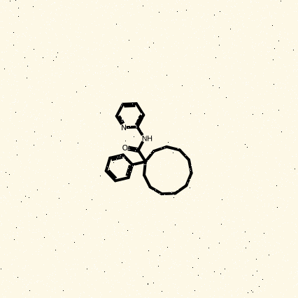 O=C(Nc1ccccn1)C1(c2ccccc2)CCCCCCCCCC1